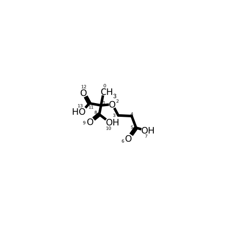 CC(OCCC(=O)O)(C(=O)O)C(=O)O